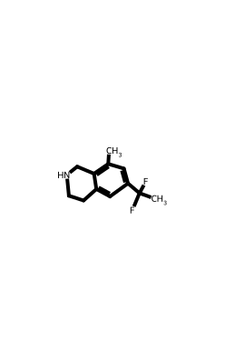 Cc1cc(C(C)(F)F)cc2c1CNCC2